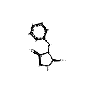 O=C1CNC(=O)C1Cc1ccccc1